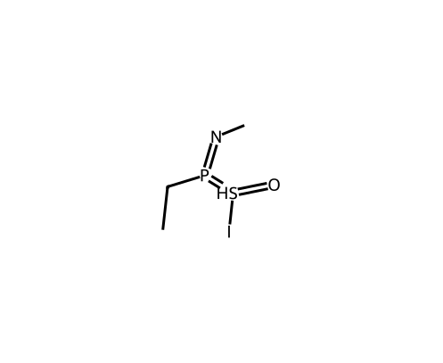 CCP(=NC)=[SH](=O)I